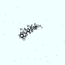 C=C(NS(=O)(=O)c1cn(C)c(C(=O)Nc2ccnc(Cl)c2F)c1F)C(C)(F)F